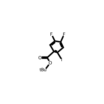 CC(C)(C)OC(=O)c1cc(F)c(F)cc1I